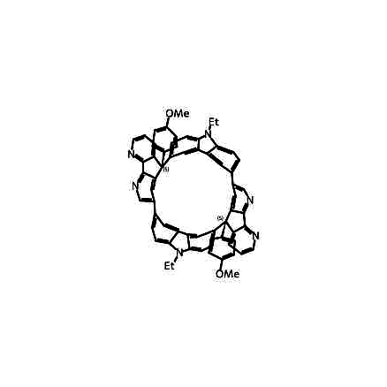 CCn1c2ccc3cc2c2cc(ccc21)[C@@]1(c2ccc(OC)cc2)c2cccnc2-c2ncc(cc21)-c1ccc2c(c1)c1cc(ccc1n2CC)[C@@]1(c2ccc(OC)cc2)c2cccnc2-c2ncc-3cc21